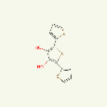 Oc1c(-c2cccs2)sc(-c2cccs2)c1O